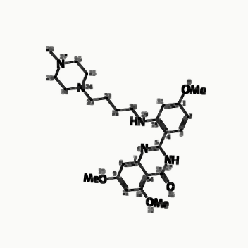 COc1ccc(-c2nc3cc(OC)cc(OC)c3c(=O)[nH]2)c(NCCCCN2CCN(C)CC2)c1